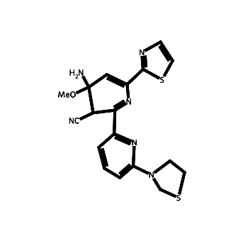 COC1(N)C=C(c2nccs2)N=C(c2cccc(N3CCSC3)n2)C1C#N